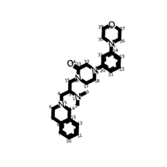 CN(C)C(CN1CCc2ccccc2C1)CN1CCN(c2cccc(N3CCOCC3)c2)CC1=O